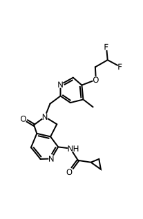 Cc1cc(CN2Cc3c(ccnc3NC(=O)C3CC3)C2=O)ncc1OCC(F)F